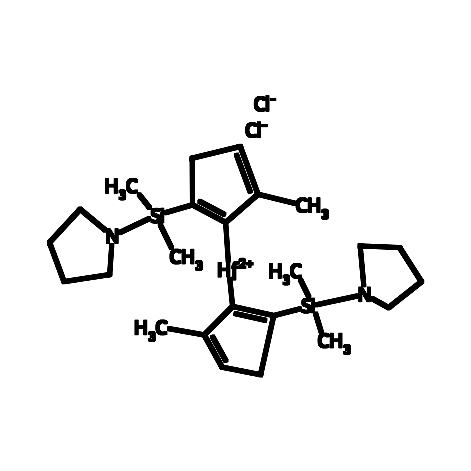 CC1=CCC([Si](C)(C)N2CCCC2)=[C]1[Hf+2][C]1=C([Si](C)(C)N2CCCC2)CC=C1C.[Cl-].[Cl-]